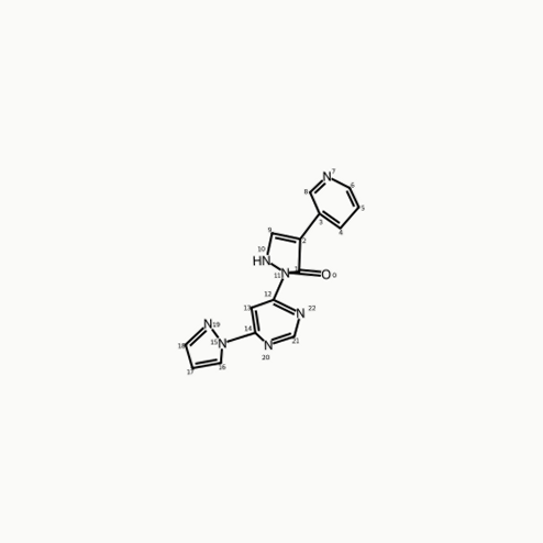 O=c1c(-c2cccnc2)c[nH]n1-c1cc(-n2cccn2)ncn1